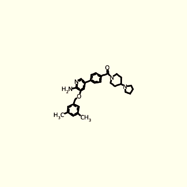 Cc1cc(C)cc(COc2cc(-c3ccc(C(=O)N4CCC(N5CCCC5)CC4)cc3)cnc2N)c1